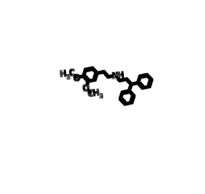 COc1ccc(CCNCCC(c2ccccc2)c2ccccc2)cc1OC